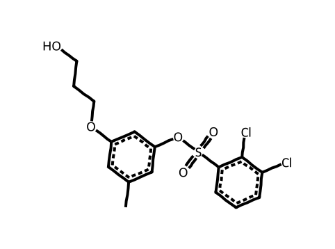 Cc1cc(OCCCO)cc(OS(=O)(=O)c2cccc(Cl)c2Cl)c1